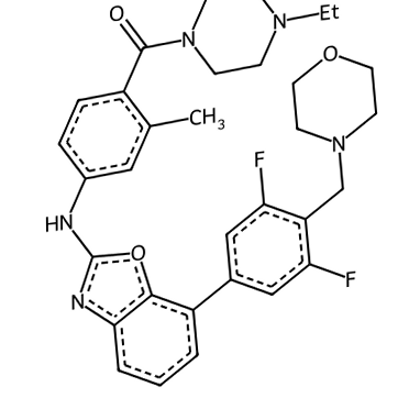 CCN1CCN(C(=O)c2ccc(Nc3nc4cccc(-c5cc(F)c(CN6CCOCC6)c(F)c5)c4o3)cc2C)CC1